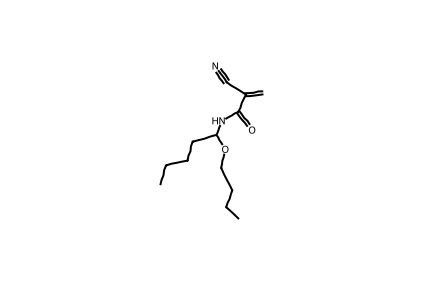 C=C(C#N)C(=O)NC(CCCC)OCCCC